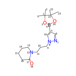 CC1(C)OB(c2cnn(CCCN3CCCCC3=O)c2)OC1(C)C